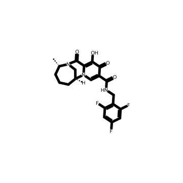 C[C@H]1CCC[C@H]2CN1C(=O)c1c(O)c(=O)c(C(=O)NCc3c(F)cc(F)cc3F)cn12